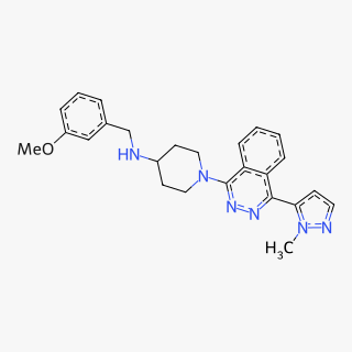 COc1cccc(CNC2CCN(c3nnc(-c4ccnn4C)c4ccccc34)CC2)c1